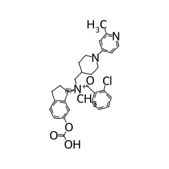 Cc1cc(N2CCC(C[N+](C)(C(=O)c3ccccc3Cl)[C@@H]3CCc4ccc(OC(=O)O)cc43)CC2)ccn1